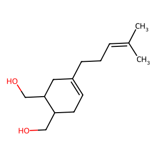 CC(C)=CCCC1=CCC(CO)C(CO)C1